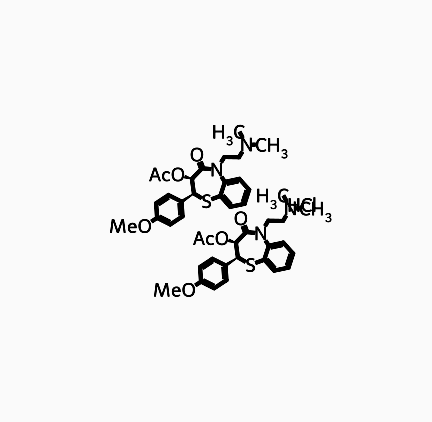 COc1ccc([C@@H]2Sc3ccccc3N(CCN(C)C)C(=O)[C@@H]2OC(C)=O)cc1.COc1ccc([C@@H]2Sc3ccccc3N(CCN(C)C)C(=O)[C@@H]2OC(C)=O)cc1.Cl